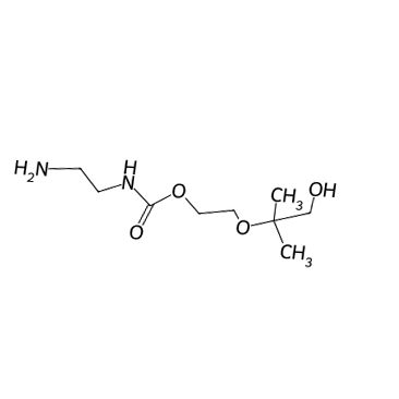 CC(C)(CO)OCCOC(=O)NCCN